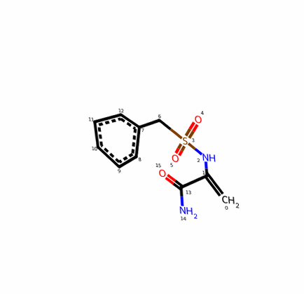 C=C(NS(=O)(=O)Cc1ccccc1)C(N)=O